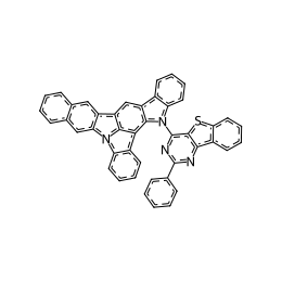 c1ccc(-c2nc(-n3c4ccccc4c4cc5c6cc7ccccc7cc6n6c7ccccc7c(c43)c56)c3sc4ccccc4c3n2)cc1